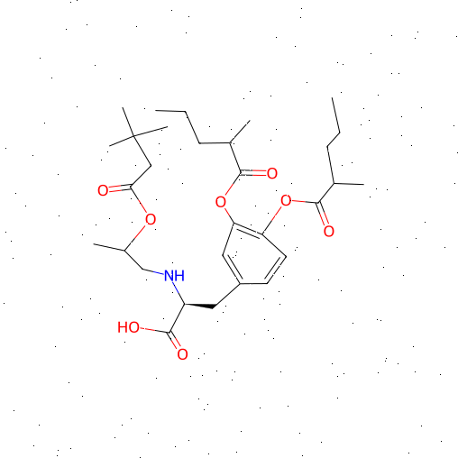 CCCC(C)C(=O)Oc1ccc(C[C@H](NCC(C)OC(=O)CC(C)(C)C)C(=O)O)cc1OC(=O)C(C)CCC